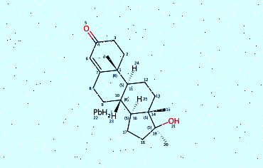 C[C@]12CCC(=O)C=C1CC[C@@H]1[C@@H]2CC[C@@]2(C)[C@H]1CC[C@]2(C)O.[PbH2]